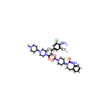 CN1CCC(N2CCN(C(=O)[C@@H](Cc3cc(Cl)c(N)c(C(F)(F)F)c3)OC(=O)N3CCC(N4CCc5ccccc5NC4=O)CC3)[C@H](C(=O)O)C2)CC1